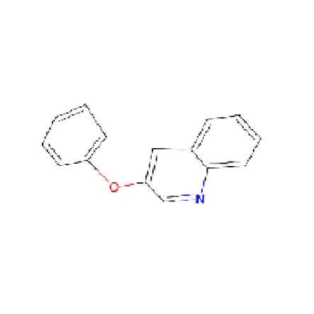 c1ccc(Oc2cnc3ccccc3c2)cc1